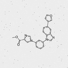 COC(=O)c1cn(-c2cccc(-n3cnc4cc(-c5ccoc5)ccc43)c2)cn1